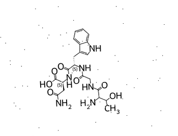 CC(O)C(N)C(=O)NCC(=O)N[C@@H](Cc1c[nH]c2ccccc12)C(=O)N[C@@H](CC(N)=O)C(=O)O